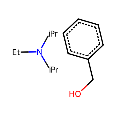 CCN(C(C)C)C(C)C.OCc1ccccc1